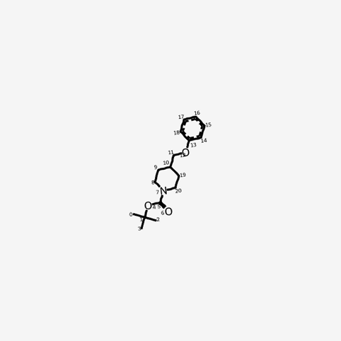 CC(C)(C)OC(=O)N1CCC(COc2ccccc2)CC1